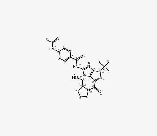 CC(=O)Nc1ccc(C(=O)Nc2nc3c(s2)c(C(=O)N2CCC[C@H]2CO)nn3C(C)(C)C)cc1